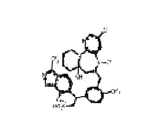 Cc1ccc(C(CC(=O)O)c2ccn3c(C(F)(F)F)nnc3c2C)cc1CN1CC2(C)CCCCN2c2ncc(Cl)cc2[S+]1[O-]